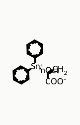 C=CC(=O)[O-].CCCCCCC[CH2][Sn+]([c]1ccccc1)[c]1ccccc1